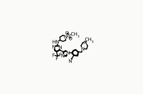 CN1CCN(Cc2ccc(-n3cnc(-c4nc(NC5CCN(S(C)(=O)=O)CC5)ncc4C(F)(F)F)c3)c(C#N)c2)CC1